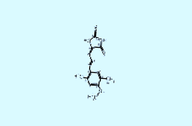 COc1cc(C)c(C=CC=C2OC(=S)NC2=O)cc1C